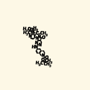 COC(C)(C)c1cc(-n2c3nc(Nc4ccc5c(c4)CCN(C(=O)OC(C)(C)C)C5)ncc3c(=O)n2C(C)C)ccn1